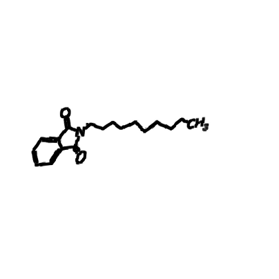 CCCCCCCCC[CH]N1C(=O)c2ccccc2C1=O